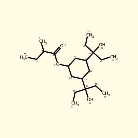 CCC(C)C(=O)OC1CC(C(O)(CC)CC)CC(C(O)(CC)CC)C1